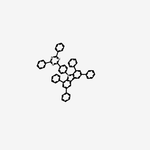 c1ccc(-c2cc(-c3ccccc3)c3c(c2)c2cc(-c4ccccc4)cc(-c4ccccc4)c2n3-c2ccc(-c3nc(-c4ccccc4)nc(-c4ccccc4)n3)cc2)cc1